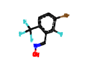 ON=Cc1c(C(F)(F)F)ccc(Br)c1F